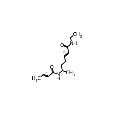 C/C=C/C(=O)NC(C)CC/C=C/C(=O)NCC